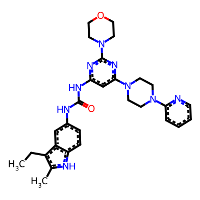 CCc1c(C)[nH]c2ccc(NC(=O)Nc3cc(N4CCN(c5ccccn5)CC4)nc(N4CCOCC4)n3)cc12